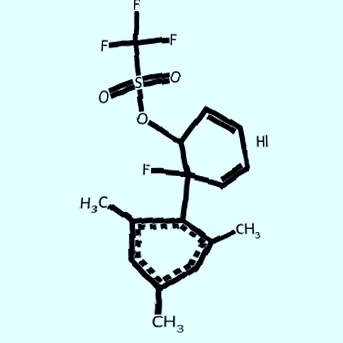 Cc1cc(C)c(C2(F)C=CC=CC2OS(=O)(=O)C(F)(F)F)c(C)c1.I